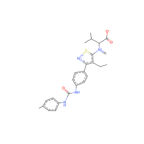 C=[N+](c1snc(-c2ccc(NC(=O)Nc3ccc(C)cc3)cc2)c1CC)C(C(=O)[O-])C(C)C